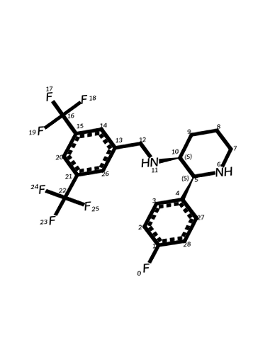 Fc1ccc([C@@H]2NCCC[C@@H]2NCc2cc(C(F)(F)F)cc(C(F)(F)F)c2)cc1